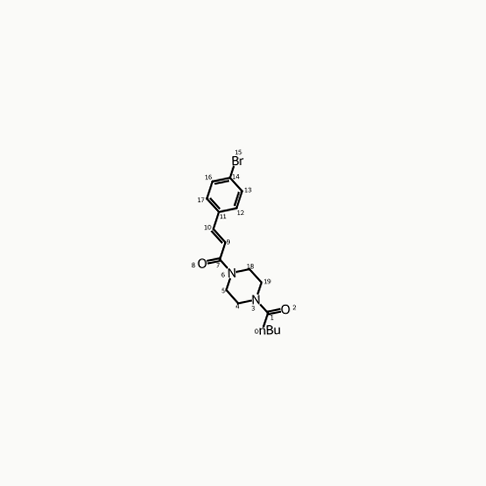 CCCCC(=O)N1CCN(C(=O)/C=C/c2ccc(Br)cc2)CC1